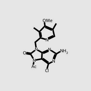 COc1c(C)cnc(Cn2c(=O)n(C(C)=O)c3c(Cl)nc(N)nc32)c1C